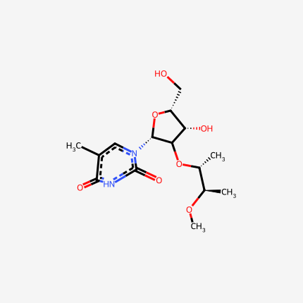 CO[C@H](C)[C@@H](C)OC1[C@@H](O)[C@@H](CO)O[C@H]1n1cc(C)c(=O)[nH]c1=O